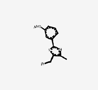 COc1cccc(-c2nc(C)c(CC(C)C)s2)c1